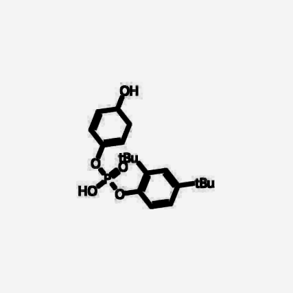 CC(C)(C)c1ccc(OP(=O)(O)OC2=CCC(O)C=C2)c(C(C)(C)C)c1